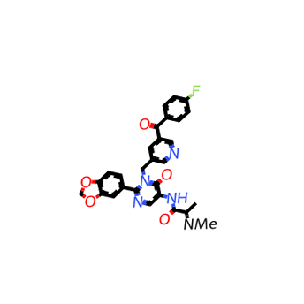 CNC(C)C(=O)Nc1cnc(-c2ccc3c(c2)OCO3)n(Cc2cncc(C(=O)c3ccc(F)cc3)c2)c1=O